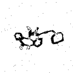 CN(CC#CCN1CCCCCC1)C(=O)N1c2ccccc2C(=O)Nc2cccnc21